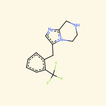 FC(F)(F)c1ccccc1Cc1cnc2n1CCNC2